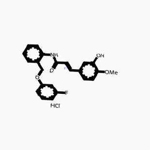 COc1ccc(/C=C/C(=O)Nc2ccccc2COc2cccc(F)c2)cc1O.Cl